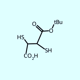 CC(C)(C)OC(=O)C(S)C(S)C(=O)O